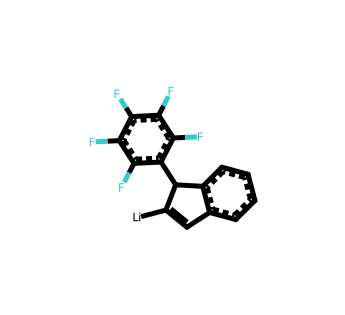 [Li][C]1=Cc2ccccc2C1c1c(F)c(F)c(F)c(F)c1F